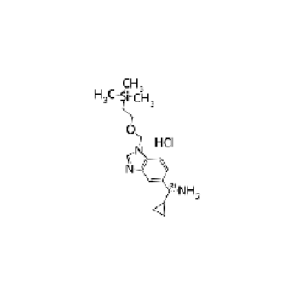 C[Si](C)(C)CCOCn1cnc2cc([C@H](N)C3CC3)ccc21.Cl